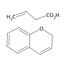 C1=Cc2ccccc2OC1.C=CCC(=O)O